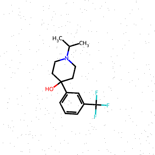 CC(C)N1CCC(O)(c2cccc(C(F)(F)F)c2)CC1